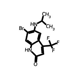 CC(C)Nc1cc2c(C(F)(F)F)cc(=O)[nH]c2cc1Br